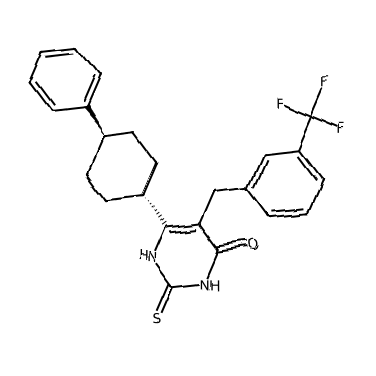 O=c1[nH]c(=S)[nH]c([C@H]2CC[C@H](c3ccccc3)CC2)c1Cc1cccc(C(F)(F)F)c1